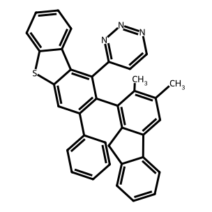 Cc1cc2c(c(-c3c(-c4ccccc4)cc4sc5ccccc5c4c3-c3ccnnn3)c1C)Cc1ccccc1-2